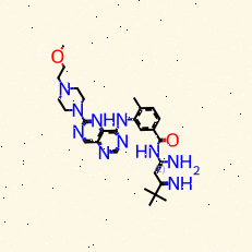 COCCN1CCN(c2ncc3ncnc(Nc4cc(C(=O)N/C(N)=C/C(=N)C(C)(C)C)ccc4C)c3n2)CC1